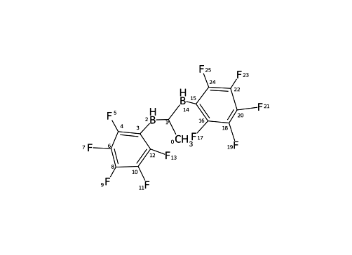 C[C](Bc1c(F)c(F)c(F)c(F)c1F)Bc1c(F)c(F)c(F)c(F)c1F